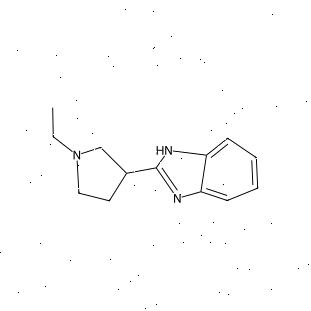 CCN1CCC(c2nc3ccccc3[nH]2)C1